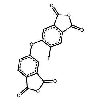 O=C1OC(=O)c2cc(Oc3cc4c(cc3F)C(=O)OC4=O)ccc21